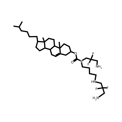 CC(C)CCCCC1CCC2C3CC=C4CC(OC(=O)N(CCCCNCC(F)(F)CN)CC(F)(F)CN)CCC4(C)C3CCC12C